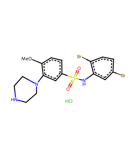 COc1ccc(S(=O)(=O)Nc2cc(Br)ccc2Br)cc1N1CCNCC1.Cl